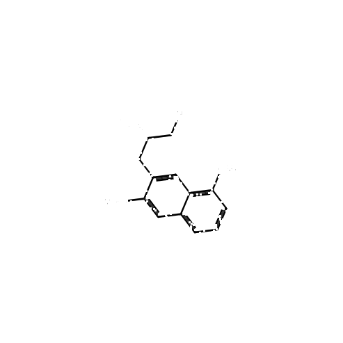 COc1cc2cccc(OC)c2cc1C[C@@H](CN)C(=O)O